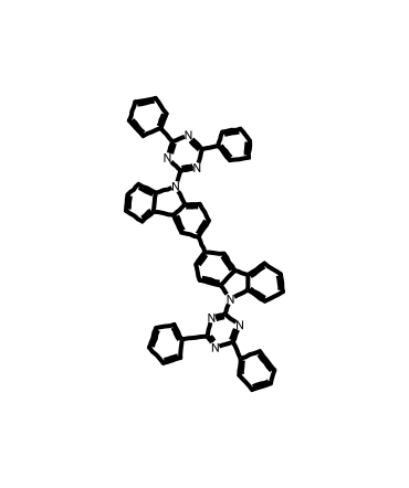 c1ccc(-c2nc(-c3ccccc3)nc(-n3c4ccccc4c4cc(-c5ccc6c(c5)c5ccccc5n6-c5nc(-c6ccccc6)nc(-c6ccccc6)n5)ccc43)n2)cc1